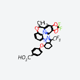 C[C@@H](Oc1cccc(-n2nc(C(F)(F)F)c3c2C(Oc2ccc(C(=O)O)cc2)CCC3)c1)c1cc2c(cn1)OC(F)(F)O2